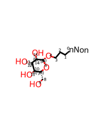 CCCCCCCCCCCCO[C@H]1O[C@H](CO)[C@@H](O)[C@H](O)[C@H]1O